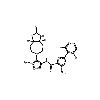 Cn1ncc(NC(=O)c2nc(-c3c(F)cccc3F)sc2N)c1N1CC[C@@H]2OC(=O)N[C@@H]2CC1